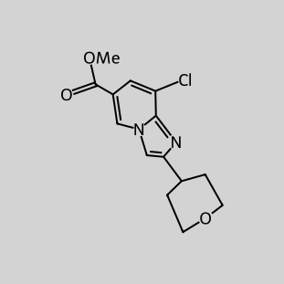 COC(=O)c1cc(Cl)c2nc(C3CCOCC3)cn2c1